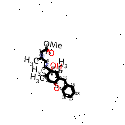 COC(=O)/C=C(C)\C=C\[C@@]1(O)C(C)=C(Cc2ccccc2)C(=O)CC1(C)C